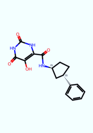 O=C(N[C@H]1CC[C@H](c2ccccc2)C1)c1[nH]c(=O)[nH]c(=O)c1O